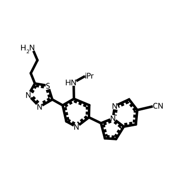 CC(C)Nc1cc(-c2ccc3cc(C#N)cnn23)ncc1-c1nnc(CCN)s1